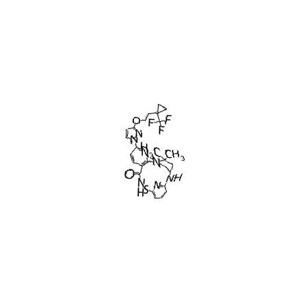 CC1(C)CC2CN1c1nc(-n3ccc(OCCC4(C(F)(F)F)CC4)n3)ccc1C(=O)NSc1cccc(n1)N2